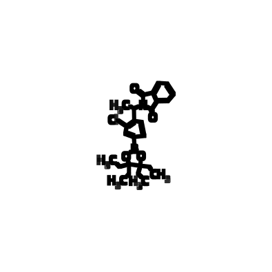 CCC1(CC)OB(c2ccc([C@@H](C)N3C(=O)c4ccccc4C3=O)c(Cl)c2)OC1(CC)CC